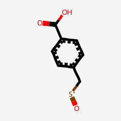 O=[S+]Cc1ccc(C(=O)O)cc1